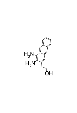 Nc1c(CCO)cc2cc3ccccc3cc2c1N